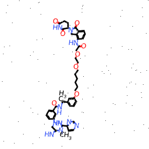 C[C@@H](NC(=O)c1cccc(NCC(=N)N(C)C(=N)c2ccncn2)c1)c1cccc(OCCCCCCOCCOCC(=O)Nc2cccc3c2CN(C2CCC(=O)NC2=O)C3=O)c1